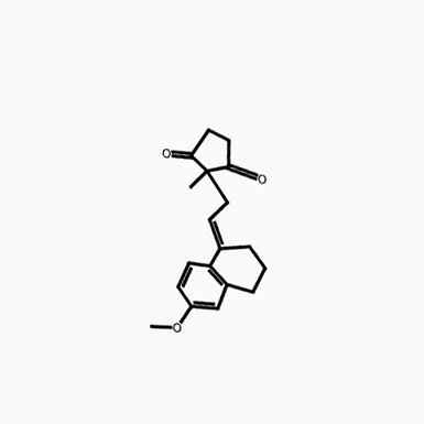 COc1ccc2c(c1)CCCC2=CCC1(C)C(=O)CCC1=O